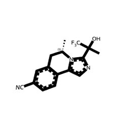 C[C@H]1Cc2cc(C#N)ccc2-c2cnc(C(C)(O)C(F)(F)F)n21